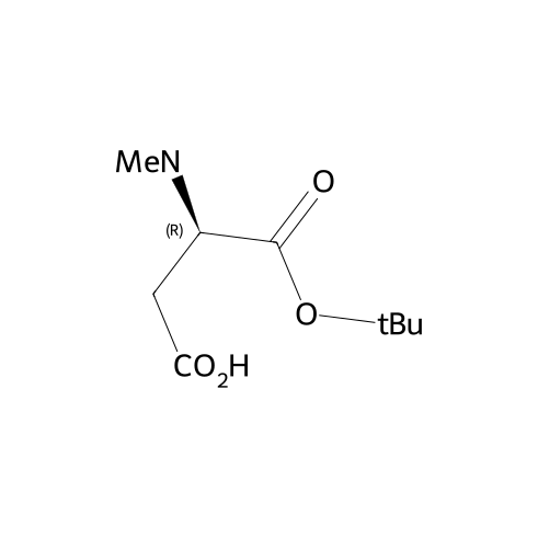 CN[C@H](CC(=O)O)C(=O)OC(C)(C)C